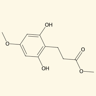 COC(=O)CCc1c(O)cc(OC)cc1O